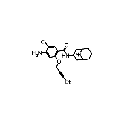 CCC#CCOc1cc(N)c(Cl)cc1C(=O)NC1CC2CCCC(C1)N2C